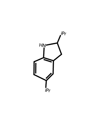 CC(C)c1ccc2c(c1)CC(C(C)C)N2